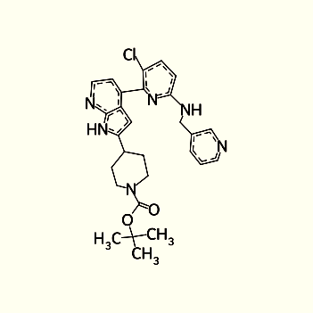 CC(C)(C)OC(=O)N1CCC(c2cc3c(-c4nc(NCc5cccnc5)ccc4Cl)ccnc3[nH]2)CC1